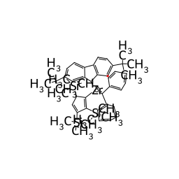 CC(C)(C)c1ccc2c(c1)[CH]([Zr]([C]1=C([Si](C)(C)C)C([Si](C)(C)C)=CC1[Si](C)(C)C)=[C](c1ccccc1)c1ccccc1)c1cc(C(C)(C)C)ccc1-2